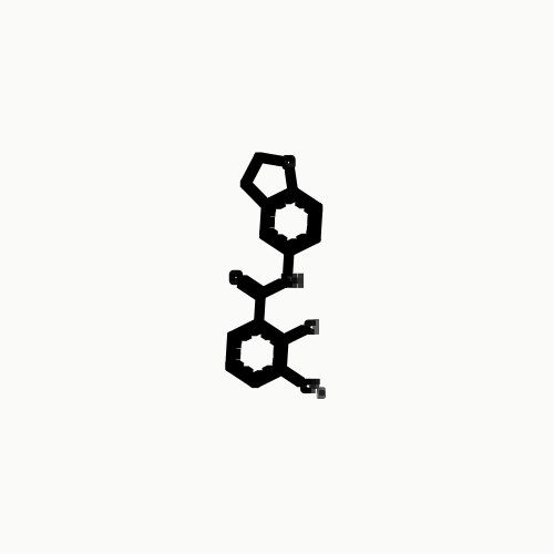 O=C(Nc1ccc2c(c1)CCO2)c1cccc(C(F)(F)F)c1Cl